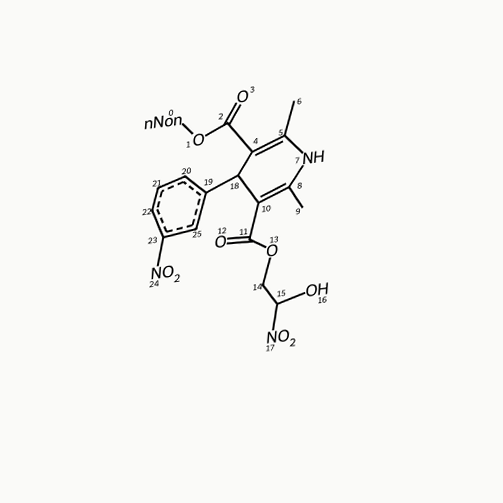 CCCCCCCCCOC(=O)C1=C(C)NC(C)=C(C(=O)OCC(O)[N+](=O)[O-])C1c1cccc([N+](=O)[O-])c1